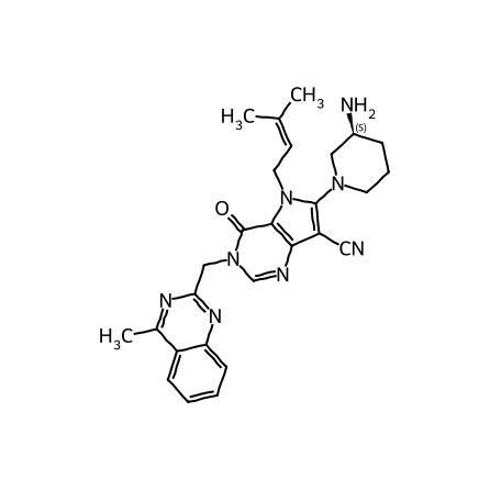 CC(C)=CCn1c(N2CCC[C@H](N)C2)c(C#N)c2ncn(Cc3nc(C)c4ccccc4n3)c(=O)c21